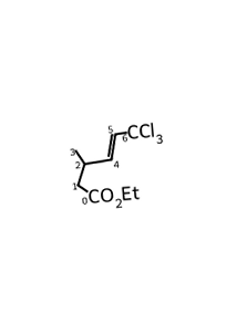 CCOC(=O)CC(C)C=CC(Cl)(Cl)Cl